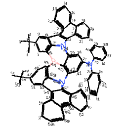 CC(C)(C)c1cc2c3c(c1)c1c4ccccc4c4ccccc4c1n3-c1cc(N(c3ccccc3)c3ccccc3)cc3c1B2c1cc(C(C)(C)C)cc2c4c5ccccc5c5ccccc5c4n-3c12